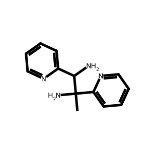 CC(N)(c1ccccn1)C(N)c1ccccn1